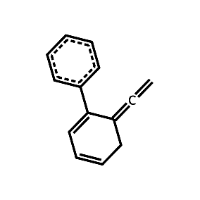 C=C=C1CC=CC=C1c1ccccc1